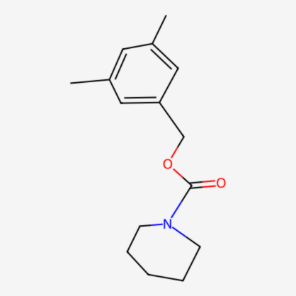 Cc1cc(C)cc(COC(=O)N2CCCCC2)c1